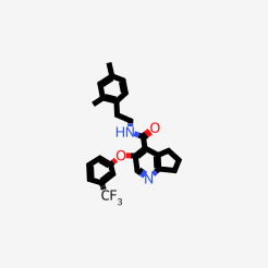 Cc1ccc(CCNC(=O)c2c(Oc3cccc(C(F)(F)F)c3)cnc3c2CCC3)c(C)c1